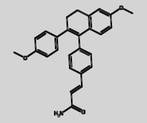 COc1ccc(C2=C(c3ccc(C=CC(N)=O)cc3)c3ccc(OC)cc3CC2)cc1